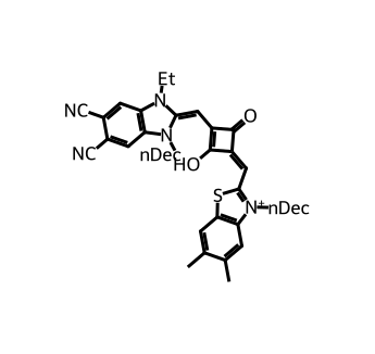 CCCCCCCCCCN1/C(=C\C2=C(O)C(=C\c3sc4cc(C)c(C)cc4[n+]3CCCCCCCCCC)/C2=O)N(CC)c2cc(C#N)c(C#N)cc21